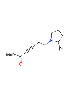 CCC1CCCN1CCC#CC(=O)NC